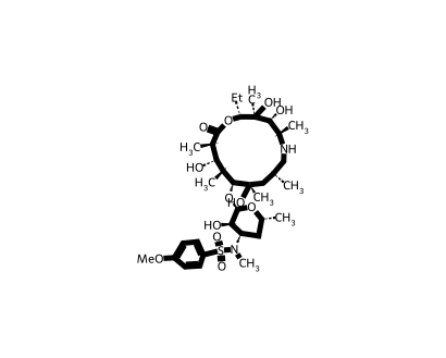 CC[C@H]1OC(=O)[C@H](C)[C@@H](O)[C@H](C)[C@@H](O[C@@H]2O[C@H](C)C[C@H](N(C)S(=O)(=O)c3ccc(OC)cc3)[C@H]2O)[C@](C)(O)C[C@@H](C)CN[C@H](C)[C@@H](O)[C@]1(C)O